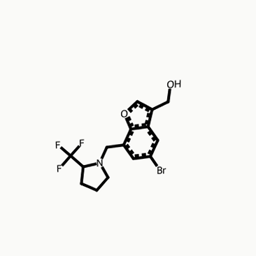 OCc1coc2c(CN3CCCC3C(F)(F)F)cc(Br)cc12